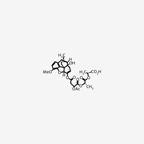 COc1ccc2c3c1O[C@H]1C(OC(=O)C[C@H](OC(C)=O)C(=O)O[C@@H](C)C(=O)O[C@@H](C)C(=O)O)=CC[C@@]4(O)[C@@H](C2)N(C)CC[C@]314